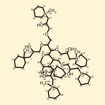 CC1(CC(O)COC(COCC(O)C[N+]2(C)CCCCC2)C(OCC(O)C[N+]2(C)CCCCC2)C(OCC(O)C[N+]2(C)CCCCC2)C(COCC(O)CN2CCCCC2)OCC(O)C[N+]2(C)CCCCC2)CCCCC1